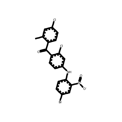 Cc1cc(Cl)ccc1C(=O)c1ccc(Nc2ccc(Br)cc2[N+](=O)[O-])cc1Cl